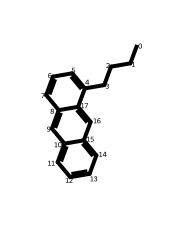 CCCCc1cccc2cc3ccccc3cc12